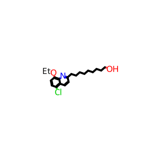 CCOc1ccc(Cl)c2ccc(CCCCCCCCCO)nc12